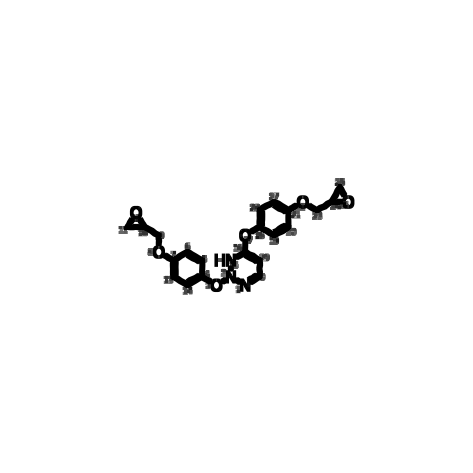 C1=NN(Oc2ccc(OCC3CO3)cc2)NC(Oc2ccc(OCC3CO3)cc2)=C1